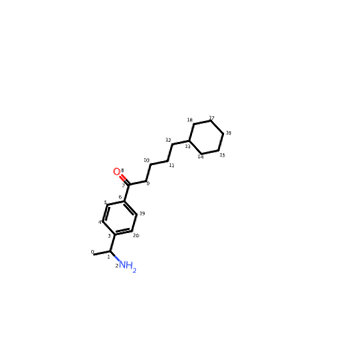 CC(N)c1ccc(C(=O)CCCCC2CCCCC2)cc1